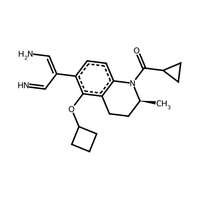 C[C@H]1CCc2c(ccc(/C(C=N)=C/N)c2OC2CCC2)N1C(=O)C1CC1